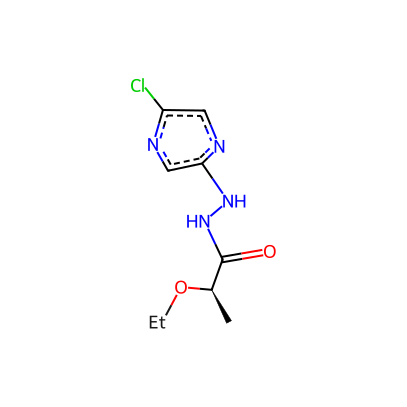 CCO[C@H](C)C(=O)NNc1cnc(Cl)cn1